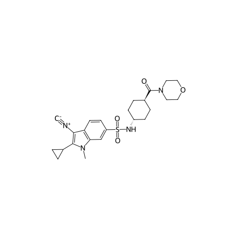 [C-]#[N+]c1c(C2CC2)n(C)c2cc(S(=O)(=O)N[C@H]3CC[C@H](C(=O)N4CCOCC4)CC3)ccc12